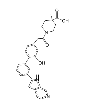 CC1(C(=O)O)CCN(C(=O)Cc2ccc(-c3cccc(-c4cc5ccncc5[nH]4)c3)c(O)c2)CC1